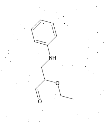 CCOC(C=O)CNc1ccccc1